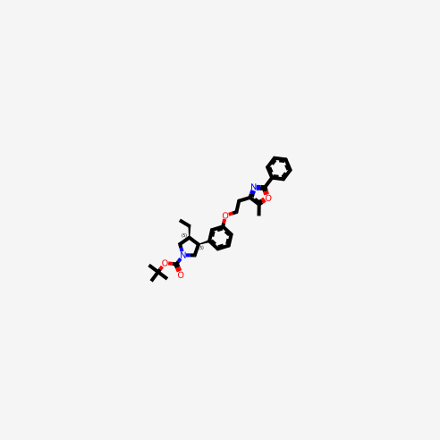 CC[C@@H]1CN(C(=O)OC(C)(C)C)C[C@@H]1c1cccc(OCCc2nc(-c3ccccc3)oc2C)c1